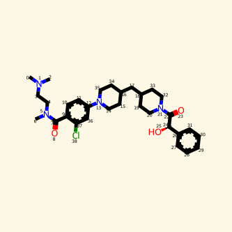 CN(C)CCN(C)C(=O)c1ccc(N2CCC(CC3CCN(C(=O)[C@H](O)c4ccccc4)CC3)CC2)cc1Cl